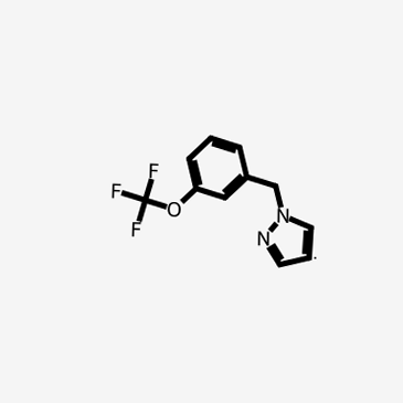 FC(F)(F)Oc1cccc(Cn2c[c]cn2)c1